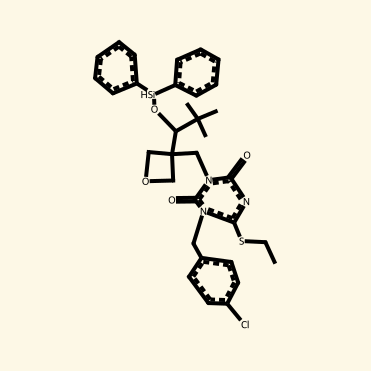 CCSc1nc(=O)n(CC2(C(O[SiH](c3ccccc3)c3ccccc3)C(C)(C)C)COC2)c(=O)n1Cc1ccc(Cl)cc1